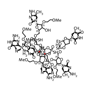 CC[C@H]1O[C@@H](n2cc(C)c(=O)[nH]c2=O)CC1OP(=O)(S)OC[C@H]1O[C@H](n2cc(C)c(N)nc2=O)[C@@H](OCCOC)C1OP(=O)(S)OC[C@H]1O[C@H](n2cc(C)c(N)nc2=O)[C@@H](OCCOC)C1OP(=O)(S)OC[C@H]1O[C@@H](n2cnc3c(N)ncnc32)[C@@H](OCCOC)C1OP(=O)(S)OC[C@H]1O[C@@H](n2cnc3c(=O)[nH]c(N)nc32)[C@@H](OCCOC)C1OP(=O)(S)OC[C@H]1O[C@H](n2cc(C)c(N)nc2=O)[C@@H](OCCOC)C1O